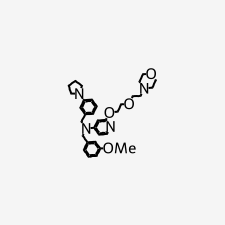 COc1cccc(CN(Cc2cccc(N3CCCC3)c2)c2ccnc(OCCOCCN3CCOCC3)c2)c1